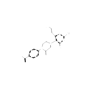 CCCc1nc(N)nc(N)c1N1CCN(c2ccc(C(=O)O)cc2)C(I)C1